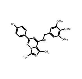 COc1cc(CNc2nc(-c3ccc(Br)cc3)nn3c(C)nc(C)c23)cc(OC)c1OC